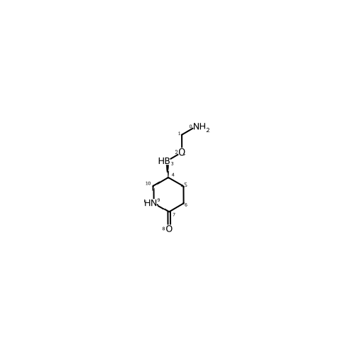 NCOB[C@H]1CCC(=O)NC1